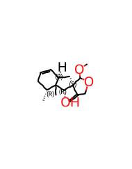 C=C1COC(OC)[C@@]12C[C@@H]1C=CC[C@@H](C)C1(C)[C@H]2O